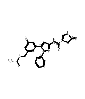 C[C@@H](OCc1cc(F)cc(-c2cc(NC(=O)[C@@H]3CNC(=O)C3)nn2-c2ccccc2)c1)C(F)(F)F